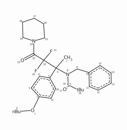 CCCCOc1ccc(C(C)(N(Cc2ccccc2)[S+]([O-])C(C)(C)C)C(F)(F)C(=O)N2CCCCC2)cc1